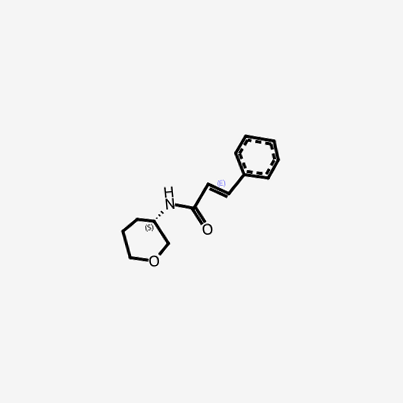 O=C(/C=C/c1ccccc1)N[C@H]1CCCOC1